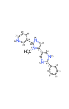 Cn1c(-c2cnc(-c3ccccc3)nc2)cnc1-c1cccnc1